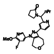 CCCC(c1cc(-c2nn(-c3cnc(OC)c(F)c3)c3c2CCOCC3)ccn1)N1CCCC1=O